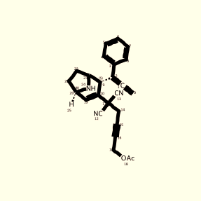 C=C=C(c1ccccc1)[C@@H]1C(C(C#N)(C#N)CC#CCOC(C)=O)=C[C@H]2CCC1N2